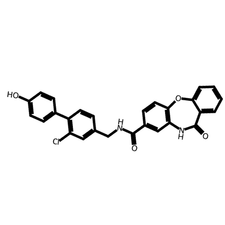 O=C(NCc1ccc(-c2ccc(O)cc2)c(Cl)c1)c1ccc2c(c1)NC(=O)c1ccccc1O2